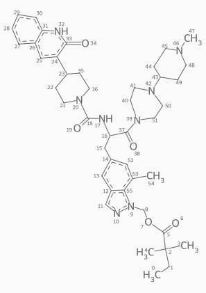 CCC(C)(C)C(=O)OCn1ncc2cc(CC(NC(=O)N3CCC(c4cc5ccccc5[nH]c4=O)CC3)C(=O)N3CCN(C4CCN(C)CC4)CC3)cc(C)c21